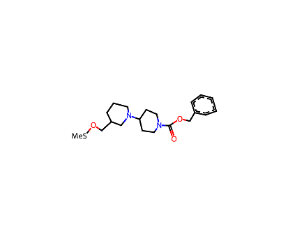 CSOCC1CCCN(C2CCN(C(=O)OCc3ccccc3)CC2)C1